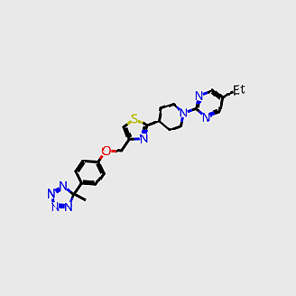 CCc1cnc(N2CCC(c3nc(COc4ccc(C5(C)N=NN=N5)cc4)cs3)CC2)nc1